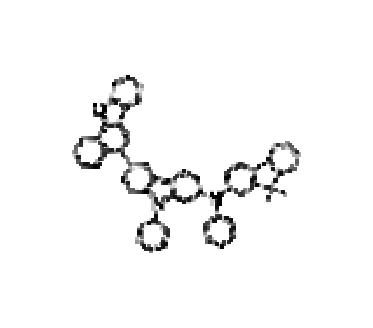 CC1(C)c2ccccc2-c2ccc(N(c3ccccc3)c3ccc4c5cc(-c6cc7c8ccccc8oc7c7ccccc67)ccc5n(-c5ccccc5)c4c3)cc21